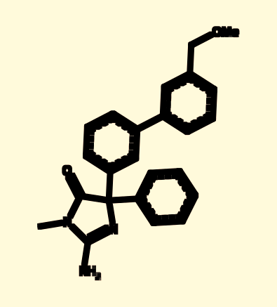 COCc1cccc(-c2cccc(C3(c4ccccc4)N=C(N)N(C)C3=O)c2)c1